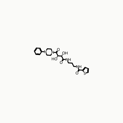 O=C(NCCCNC(=O)[C@H](O)[C@@H](O)C(=O)N1CCN(c2ccccc2)CC1)c1cccs1